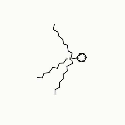 CCCCCCCCC[PH](CCCCCCCCC)(CCCCCCCCC)c1ccccc1